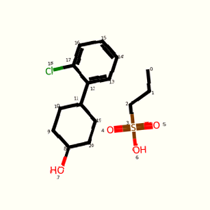 CCCS(=O)(=O)O.OC1CCC(c2ccccc2Cl)CC1